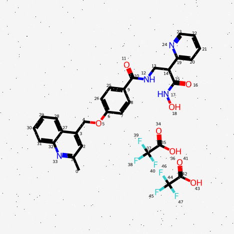 Cc1cc(COc2ccc(C(=O)NCC(C(=O)NO)c3ccccn3)cc2)c2ccccc2n1.O=C(O)C(F)(F)F.O=C(O)C(F)(F)F